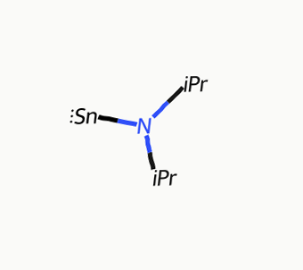 CC(C)[N]([Sn])C(C)C